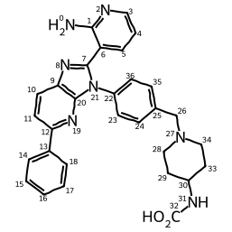 Nc1ncccc1-c1nc2ccc(-c3ccccc3)nc2n1-c1ccc(CN2CCC(NC(=O)O)CC2)cc1